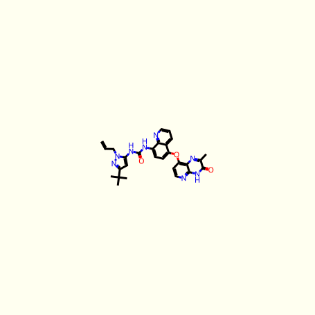 C=CCn1nc(C(C)(C)C)cc1NC(=O)Nc1ccc(Oc2ccnc3[nH]c(=O)c(C)nc23)c2cccnc12